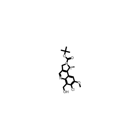 COc1cc2c3c(cnc2c(CO)c1Cl)CN(C(=O)OC(C)(C)C)[C@H]3C